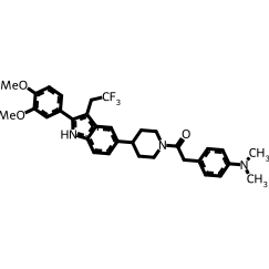 COc1ccc(-c2[nH]c3ccc(C4CCN(C(=O)Cc5ccc(N(C)C)cc5)CC4)cc3c2CC(F)(F)F)cc1OC